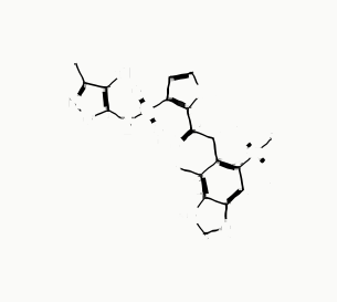 Cc1noc(NS(=O)(=O)c2ccsc2C(=O)Cc2c(S(C)(=O)=O)cc3c(c2C)OCO3)c1Cl